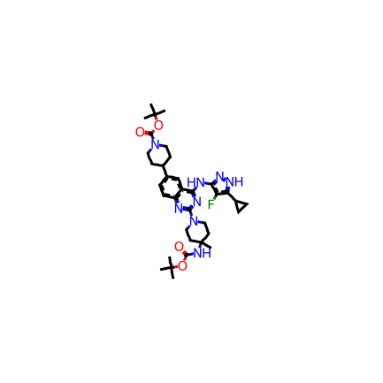 CC1(NC(=O)OC(C)(C)C)CCN(c2nc(Nc3n[nH]c(C4CC4)c3F)c3cc(C4CCN(C(=O)OC(C)(C)C)CC4)ccc3n2)CC1